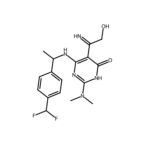 CC(Nc1nc(N(C)C)[nH]c(=O)c1C(=N)CO)c1ccc(C(F)F)cc1